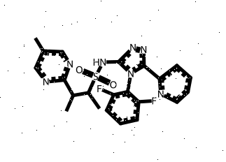 Cc1cnc(C(C)C(C)S(=O)(=O)Nc2nnc(-c3ccccn3)n2-c2c(F)cccc2F)nc1